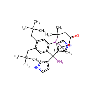 CC1(C)CC(=O)CC(C)(C)P1c1cc(C[Si](C)(C)C)c(C[Si](C)(C)C)cc1C(P)(c1cc[nH]c1)c1cc[nH]c1